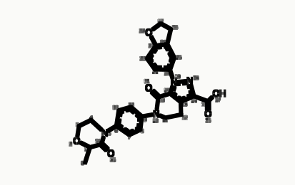 CC1OCCN(c2ccc(N3CCc4c(C(=O)O)nn(-c5ccc6c(c5)CCO6)c4C3=O)cc2)C1=O